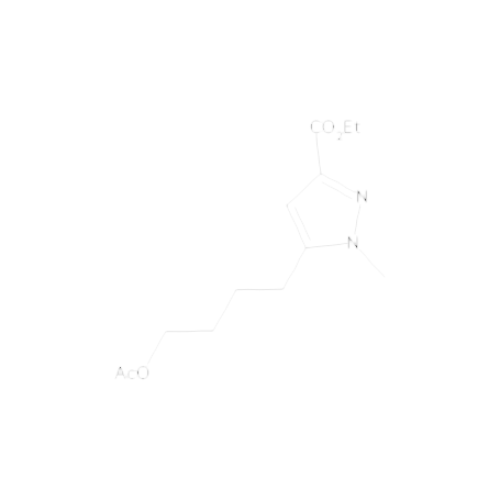 CCOC(=O)c1cc(CCCCOC(C)=O)n(C)n1